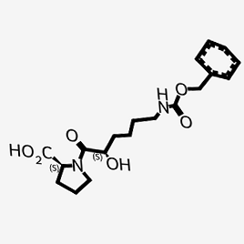 O=C(NCCCC[C@H](O)C(=O)N1CCC[C@H]1C(=O)O)OCc1ccccc1